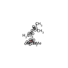 C=CC1CC(/C=C\C2CC(/C=C\C3CC(C=C)C4C(=O)N(Cc5ccccc5)C(=O)C34)C3C(=O)N(CCOC)C(=O)C23)C2C(=O)N(CCOCCN3C(=O)C4C(C=CC)CC(C=CC)C4C3=O)C(=O)C12